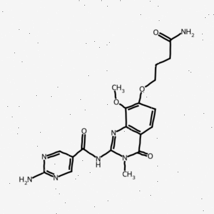 COc1c(OCCCC(N)=O)ccc2c(=O)n(C)c(NC(=O)c3cnc(N)nc3)nc12